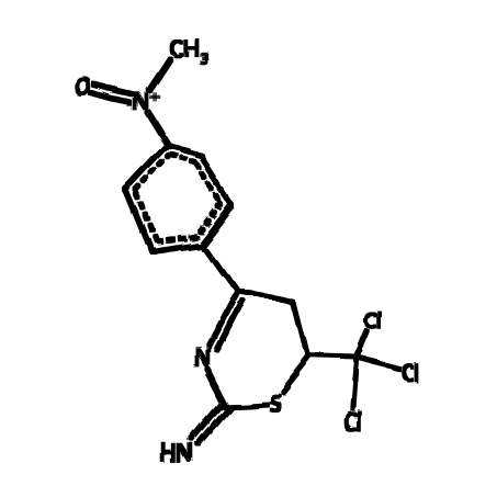 C[N+](=O)c1ccc(C2=NC(=N)SC(C(Cl)(Cl)Cl)C2)cc1